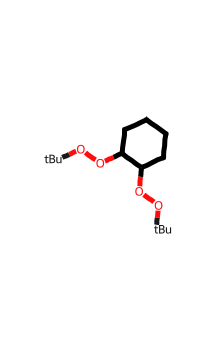 CC(C)(C)OOC1C[CH]CCC1OOC(C)(C)C